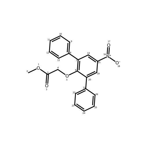 COC(=O)COc1c(-c2ccccc2)cc([N+](=O)[O-])cc1-c1ccccc1